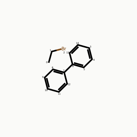 CCBr.c1ccc(-c2ccccc2)cc1